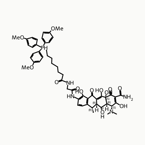 COc1ccc([PH](CCCCCCCC(=O)NCC(=O)Nc2ccc3c(c2O)C(=O)C2=C(O)[C@]4(O)C(=O)C(C(N)=O)=C(O)[C@@H](N(C)C)[C@@H]4[C@@H](O)[C@@H]2[C@H]3C)(c2ccc(OC)cc2)c2ccc(OC)cc2)cc1